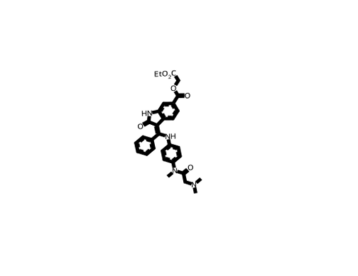 CCOC(=O)COC(=O)c1ccc2c(c1)NC(=O)C2=C(Nc1ccc(N(C)C(=O)CN(C)C)cc1)c1ccccc1